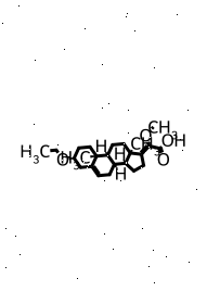 CCO[C@H]1CC[C@@]2(C)C(=CC[C@@H]3[C@@H]2CC[C@]2(C)C(=C(OC)C(=O)O)CC[C@@H]32)C1